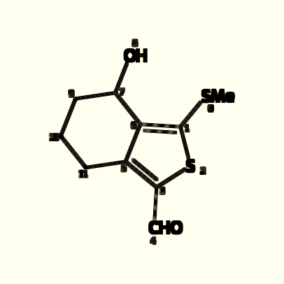 CSc1sc(C=O)c2c1C(O)CCC2